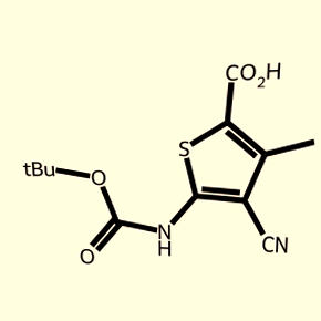 Cc1c(C(=O)O)sc(NC(=O)OC(C)(C)C)c1C#N